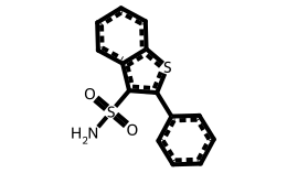 NS(=O)(=O)c1c(-c2ccccc2)sc2ccccc12